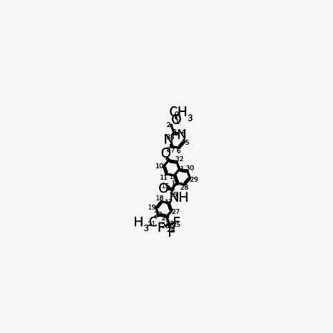 COCc1nccc(Oc2ccc3c(C(=O)Nc4ccc(C)c(C(F)(F)F)c4)cccc3c2)n1